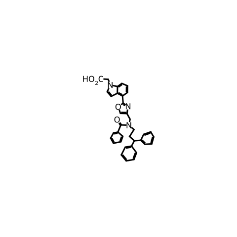 O=C(O)Cn1ccc2c(-c3nc(CN(CCC(c4ccccc4)c4ccccc4)C(=O)c4ccccc4)co3)cccc21